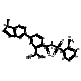 CCCN(c1nc(-c2ccc3c(ccn3C)c2)ccc1C(=O)NS(=O)(=O)c1cccnc1N)C(C)(C)C